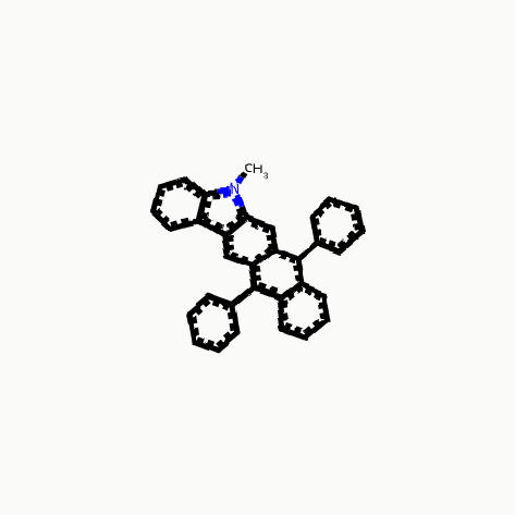 Cn1c2ccccc2c2cc3c(-c4ccccc4)c4ccccc4c(-c4ccccc4)c3cc21